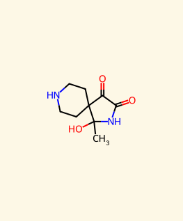 CC1(O)NC(=O)C(=O)C12CCNCC2